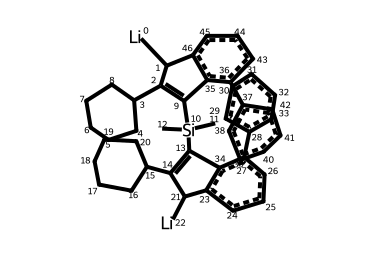 [Li][CH]1C(C2CCCCC2)=C([Si](C)(C)C2=C(C3CCCCC3)[CH]([Li])c3cccc(-c4ccccc4)c32)c2c(-c3ccccc3)cccc21